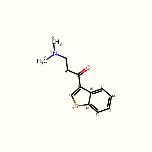 CN(C)CCC(=O)c1csc2ccccc12